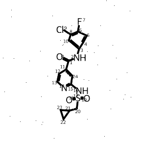 O=C(Nc1ccc(F)c(Cl)c1)c1ccnc(NS(=O)(=O)CC2CC2)c1